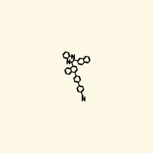 N#Cc1ccc(-c2ccc(-c3ccc(-c4nc5ccccc5nc4-c4ccc5ccccc5c4)c4ccccc34)cc2)cc1